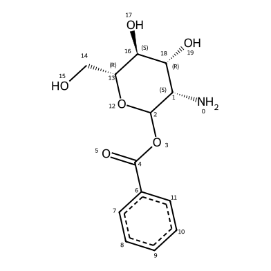 N[C@@H]1C(OC(=O)c2ccccc2)O[C@H](CO)[C@@H](O)[C@@H]1O